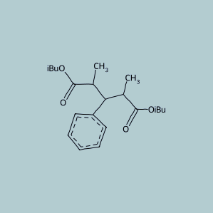 CC(C)COC(=O)C(C)C(c1ccccc1)C(C)C(=O)OCC(C)C